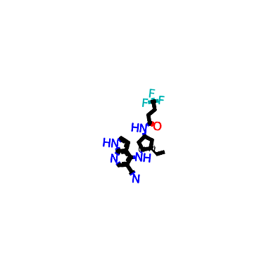 CC[C@@H]1CC(NC(=O)CCC(F)(F)F)C[C@@H]1Nc1c(C#N)cnc2[nH]ccc12